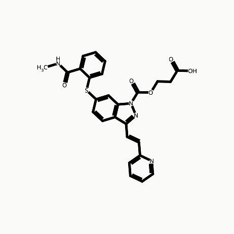 CNC(=O)c1ccccc1Sc1ccc2c(/C=C/c3ccccn3)nn(C(=O)OCCC(=O)O)c2c1